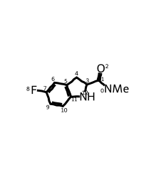 CNC(=O)C1Cc2cc(F)ccc2N1